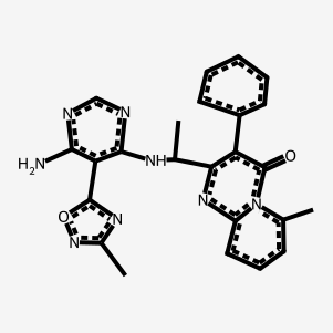 Cc1noc(-c2c(N)ncnc2NC(C)c2nc3cccc(C)n3c(=O)c2-c2ccccc2)n1